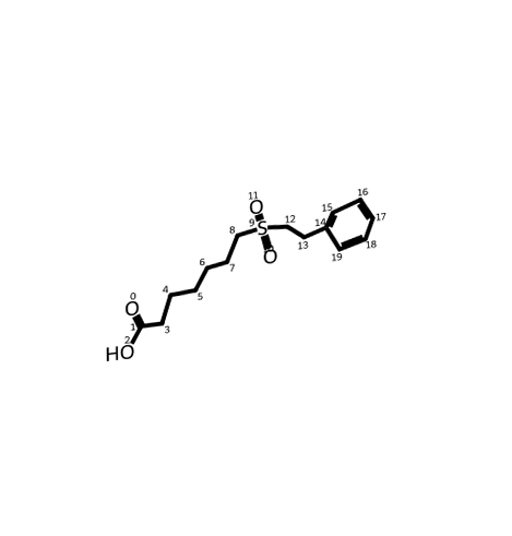 O=C(O)CCCCCCS(=O)(=O)CCc1ccccc1